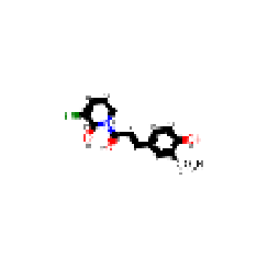 O=C(O)c1cc(C=CC(=O)N2CCC=C(Cl)C2=O)ccc1O